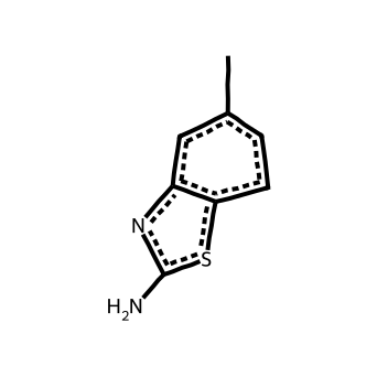 Cc1ccc2sc(N)nc2c1